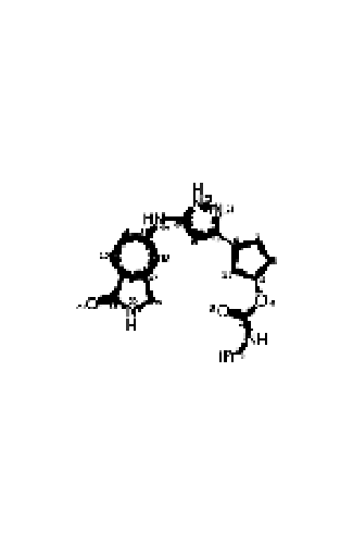 CC(C)NC(=O)O[C@@H]1CC[C@H](c2cc(Nc3ccc4c(c3)CNC4=O)[nH]n2)C1